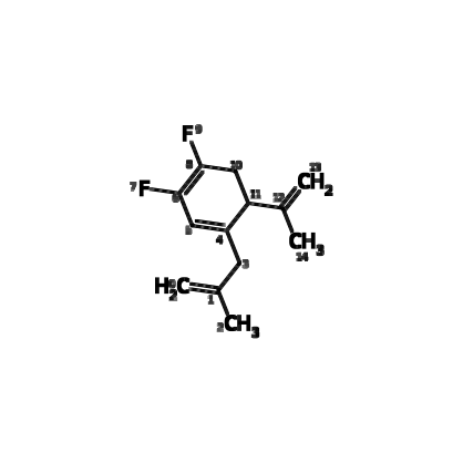 C=C(C)CC1=CC(F)=C(F)CC1C(=C)C